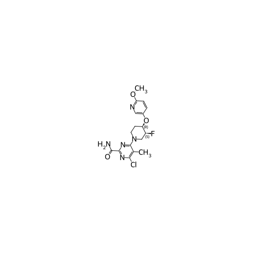 COc1ccc(O[C@@H]2CCN(c3nc(C(N)=O)nc(Cl)c3C)C[C@@H]2F)cn1